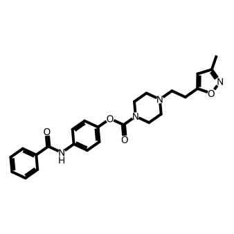 Cc1cc(CCN2CCN(C(=O)Oc3ccc(NC(=O)c4ccccc4)cc3)CC2)on1